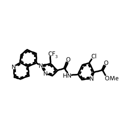 COC(=O)c1ncc(NC(=O)c2cnn(-c3cccc4ncccc34)c2C(F)(F)F)cc1Cl